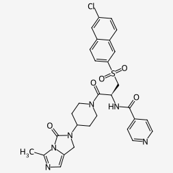 Cc1ncc2n1C(=O)N(C1CCN(C(=O)[C@@H](CS(=O)(=O)c3ccc4cc(Cl)ccc4c3)NC(=O)c3ccncc3)CC1)C2